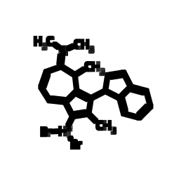 CC1=[C]([Hf]([Br])[Br])C2=CC=CC(=[Si](C)C)C(C)C2=C1C1C=Cc2ccccc21